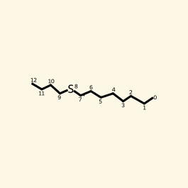 CCCCCCC[CH]SCCCC